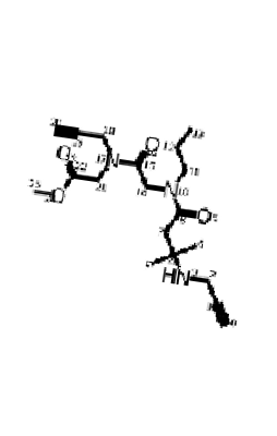 C#CCNC(C)(C)CC(=O)N(CCC)CC(=O)N(CC#C)CC(=O)OC